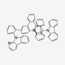 c1cc(-c2ccccc2-c2cc(-c3ccccc3-n3c4ccccc4c4cccnc43)ccc2-n2c3ccccc3c3ccccc32)cc(-n2c3ccccc3c3ccccc32)c1